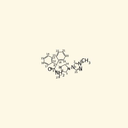 C[n+]1cn([C@@H]2CC[C@H](C(C(N)=O)(c3ccccc3)c3ccccc3)C2)cn1.[I-]